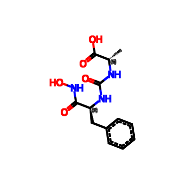 C[C@H](NC(=O)N[C@@H](Cc1ccccc1)C(=O)NO)C(=O)O